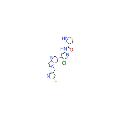 O=C(Nc1cc(-c2cnc3ccn(Cc4cncc(F)c4)c3c2)c(Cl)cn1)[C@@H]1CCCNC1